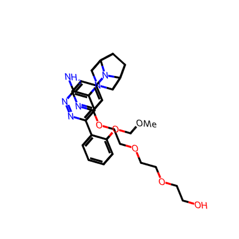 COCOc1ccccc1-c1cc(N2CC3CCC(C2)N3c2ccnc(OCCOCCOCCO)c2)c(N)nn1